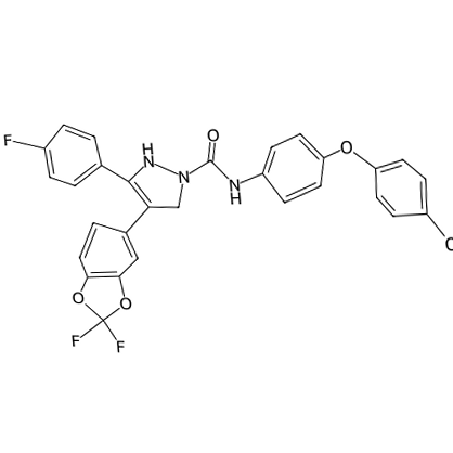 O=C(Nc1ccc(Oc2ccc(Cl)cc2)cc1)N1CC(c2ccc3c(c2)OC(F)(F)O3)=C(c2ccc(F)cc2)N1